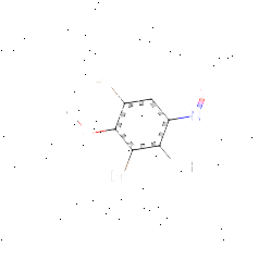 COc1c(Br)cc(N=O)c(C)c1Br